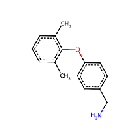 Cc1cccc(C)c1Oc1ccc(CN)cc1